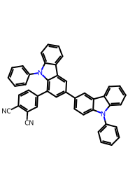 N#Cc1ccc(-c2cc(-c3ccc4c(c3)c3ccccc3n4-c3ccccc3)cc3c4ccccc4n(-c4ccccc4)c23)cc1C#N